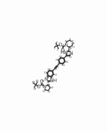 CC(C)(C)OC(=O)N1CCSC[C@H]1c1ncc(-c2ccc(C#Cc3ccc4nc([C@@H]5CCCN5C(=O)OC(C)(C)C)[nH]c4c3)cc2)[nH]1